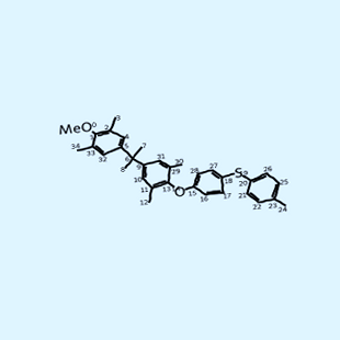 COc1c(C)cc(C(C)(C)c2cc(C)c(Oc3ccc(Sc4ccc(C)cc4)cc3)c(C)c2)cc1C